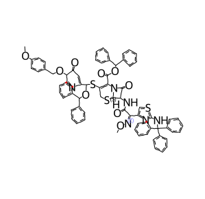 CO/N=C(\C(=O)NC1C(=O)N2C(C(=O)OC(c3ccccc3)c3ccccc3)=C(SC(OC(c3ccccc3)c3ccccc3)C3=CC(=O)C(OCc4ccc(OC)cc4)C=N3)CS[C@@H]12)c1csc(NC(c2ccccc2)(c2ccccc2)c2ccccc2)n1